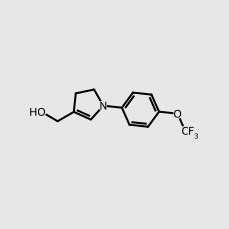 OCC1=CN(c2ccc(OC(F)(F)F)cc2)CC1